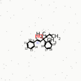 C=CC(C)(C)C(O)(/C=C/c1ccccc1)c1ccccc1